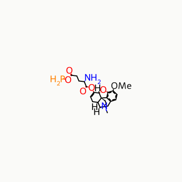 COc1ccc2c3c1O[C@H]1C(OC(=O)C(N)CCC(=O)OP)=CC[C@H]4[C@@H](C2)N(C)CC[C@]314